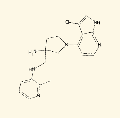 Cc1ncccc1NCC1(N)CCN(c2ccnc3[nH]cc(Cl)c23)C1